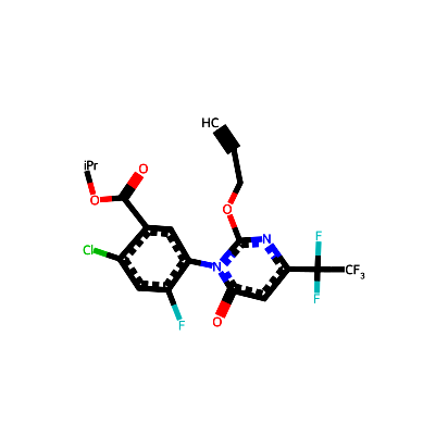 C#CCOc1nc(C(F)(F)C(F)(F)F)cc(=O)n1-c1cc(C(=O)OC(C)C)c(Cl)cc1F